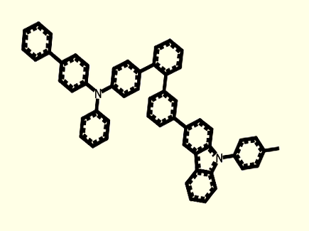 Cc1ccc(-n2c3ccccc3c3cc(-c4cccc(-c5ccccc5-c5ccc(N(c6ccccc6)c6ccc(-c7ccccc7)cc6)cc5)c4)ccc32)cc1